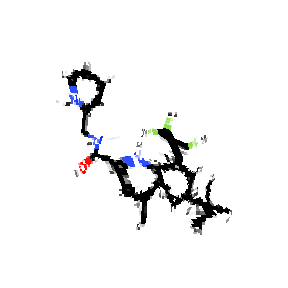 Cc1cc(C(=O)NCc2ccccn2)nc2c(C(F)(F)F)cc(C(C)(C)C)cc12